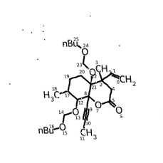 C=CC1(C)CC(=O)OC2(C#CC)C(OCOCCCC)C(C)CC[C@]12OCOCCCC